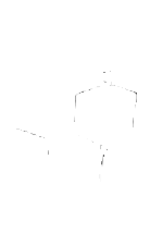 CC(S)[C@@H]1CNCCN1I